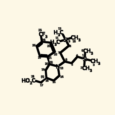 C[Si](C)(C)CCC(CC[Si](C)(C)C)N1CC[C@@H](CC(=O)O)C[C@H]1c1ccc(C(F)(F)F)cc1